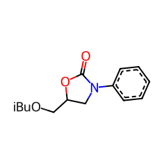 CC(C)COCC1CN(c2ccccc2)C(=O)O1